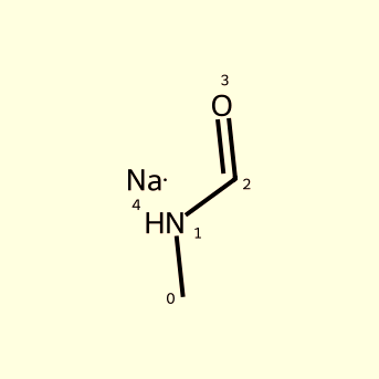 CNC=O.[Na]